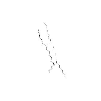 CC/C=C/CCCCCCCC/C=C\CCCC.CCCCCCCCOCOCOCCCCCCCC